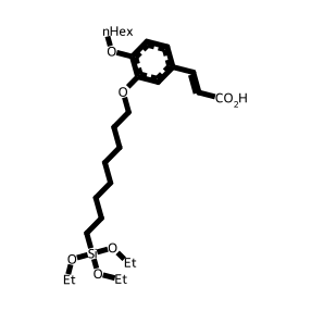 CCCCCCOc1ccc(C=CC(=O)O)cc1OCCCCCCCC[Si](OCC)(OCC)OCC